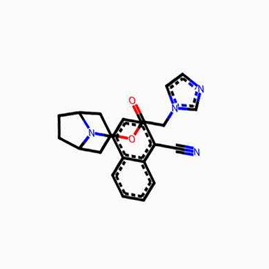 N#Cc1ccc(N2C3CCC2CC(OC(=O)Cn2ccnc2)C3)c2ccccc12